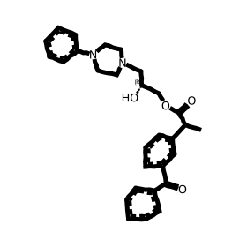 CC(C(=O)OC[C@H](O)CN1CCN(c2ccccc2)CC1)c1cccc(C(=O)c2ccccc2)c1